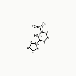 O=[N+]([O-])C1CCCC(N2CCCC2)N1